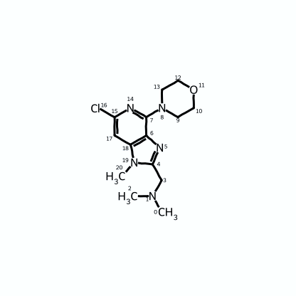 CN(C)Cc1nc2c(N3CCOCC3)nc(Cl)cc2n1C